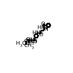 CC(C)(C)OC(=O)NNC(=O)C1CCC(NC(=O)CCc2nc3ccccc3c(=O)[nH]2)CC1